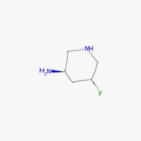 N[C@H]1CNCC(F)C1